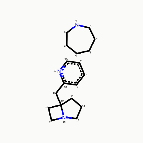 C1CCC[N]CC1.c1ccc(CC23CCC[N+]2CC3)nc1